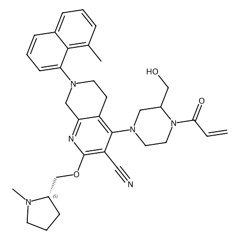 C=CC(=O)N1CCN(c2c(C#N)c(OC[C@@H]3CCCN3C)nc3c2CCN(c2cccc4cccc(C)c24)C3)CC1CO